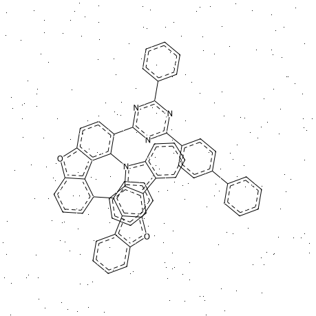 c1ccc(-c2ccc(-c3nc(-c4ccccc4)nc(-c4ccc5oc6cccc(-c7cccc8oc9ccccc9c78)c6c5c4-n4c5ccccc5c5ccccc54)n3)cc2)cc1